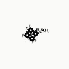 C[NH2+]C.Fc1cc(F)c([B-](c2c(F)cc(F)c(F)c2F)(c2c(F)cc(F)c(F)c2F)c2c(F)cc(F)c(F)c2F)c(F)c1F